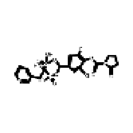 O=C1CCCN1C(=O)Oc1c(F)cc(C2OP(=O)(O)C(O)(Cc3cccnc3)P(=O)(O)O2)cc1Cl